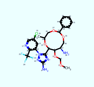 COCOC1C(c2nc(N)nn2-c2cc(Cl)cnc2C(F)(F)F)OC(C)COC(c2ccccc2)OC[C@H]1N